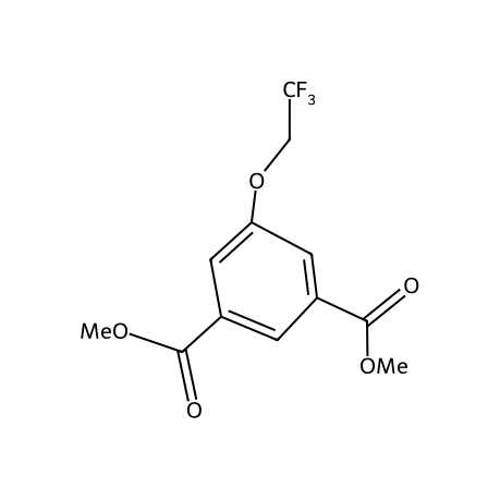 COC(=O)c1cc(OCC(F)(F)F)cc(C(=O)OC)c1